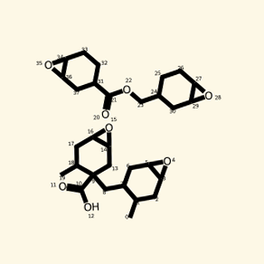 CC1CC2OC2CC1CC1(C(=O)O)CC2OC2CC1C.O=C(OCC1CCC2OC2C1)C1CCC2OC2C1